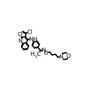 C/C(=N\OCCCCN1CCOCC1)c1ccc(Nc2c3ccccc3nc3occ(Cl)c23)cc1